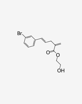 C=C(CC=Cc1cccc(Br)c1)C(=O)OCCO